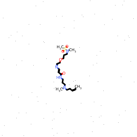 C/C=C\CCN(C)CCCNC(=O)/C=C/N=C\COCCCN(C)S(C)(=O)=O